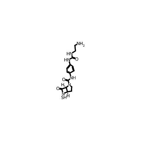 NCCNC(=O)Nc1ccc(NC(=O)N2CC[C@@H]3[C@H]2C(=O)N3S)cc1